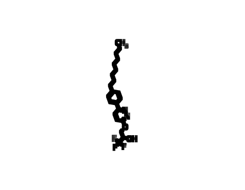 CCCCCCCCCc1ccc(-c2ccc(OCC(O)C(F)(F)F)nn2)cc1